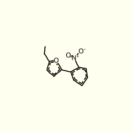 CCc1ccc(-c2ccccc2[N+](=O)[O-])o1